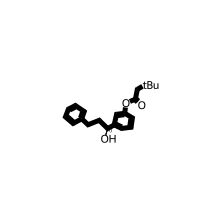 CC(C)(C)CC(=O)Oc1cccc([C@H](O)CCc2ccccc2)c1